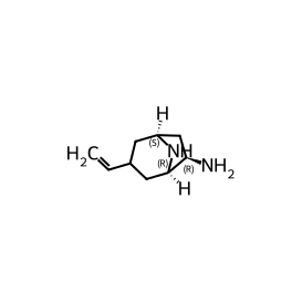 C=CC1C[C@H]2C[C@@H](N)[C@@H](C1)N2